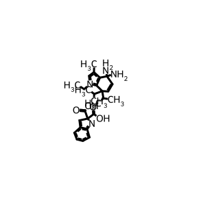 CCn1cc(C)c2c1C(C(C)C)(C(C)C)C=CC2(N)N.O=C(O)C1(C(=O)O)C=c2ccccc2=N1